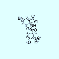 COc1ccc(S(=O)(=O)Nc2ccc(Br)cc2C(=O)Cl)cc1[N+](=O)[O-]